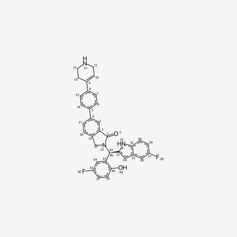 O=C1c2cc(-c3ccc(C4=CCNCC4)cc3)ccc2CN1[C@@H](c1cc2cc(F)ccc2[nH]1)c1cc(F)ccc1O